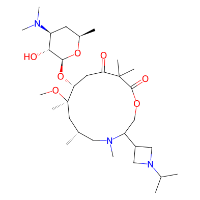 CO[C@]1(C)C[C@@H](C)CN(C)C(C2CN(C(C)C)C2)COC(=O)C(C)(C)C(=O)C[C@H]1O[C@@H]1O[C@H](C)C[C@H](N(C)C)[C@H]1O